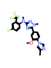 COc1cc(-c2nc(N(C)c3ccc(F)cc3C(F)(F)F)nn2C)ccc1-n1cnc(C)c1